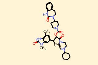 Cc1cc(C(C)C(OC(=O)N2CCC(N3CCc4ccccc4NC3=O)CC2)C(=O)N2CCN(C3CCCCC3)CC2)cc2c1[nH]c(=O)n2C